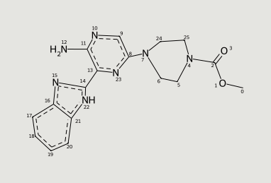 COC(=O)N1CCN(c2cnc(N)c(-c3nc4ccccc4[nH]3)n2)CC1